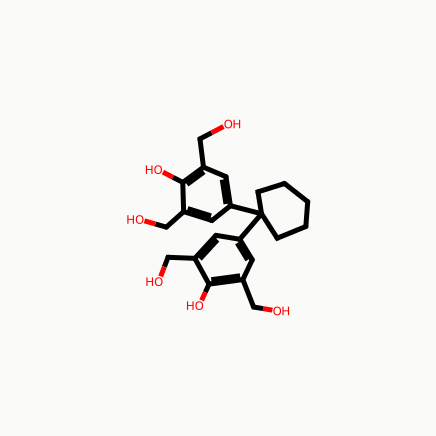 OCc1cc(C2(c3cc(CO)c(O)c(CO)c3)CCCCC2)cc(CO)c1O